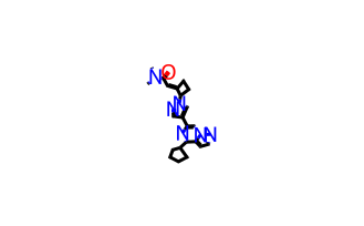 CN(C)C(=O)/C=C1\CCC1n1cc(-c2cn3nccc3c(C3CCCC3)n2)cn1